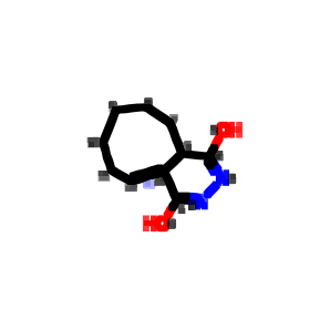 OC1=NN=C(O)C2CCCCC/C=C/12